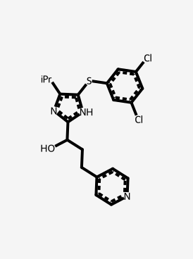 CC(C)c1nc(C(O)CCc2ccncc2)[nH]c1Sc1cc(Cl)cc(Cl)c1